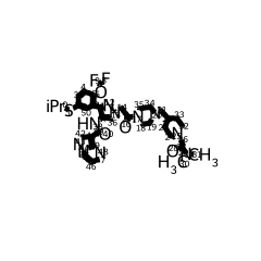 CC(C)Sc1ccc(OC(F)F)c(-c2nn(CC(=O)N3CCN(CC4CCN(CC(=O)N(C)C)CC4)CC3)cc2NC(=O)c2cnn3cccnc23)c1